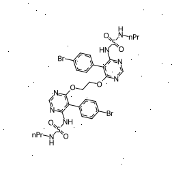 CCCNS(=O)(=O)Nc1ncnc(OCCOc2ncnc(NS(=O)(=O)NCCC)c2-c2ccc(Br)cc2)c1-c1ccc(Br)cc1